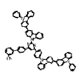 N#Cc1cccc(-c2ccc(-c3cc(-c4ccc(-n5c6ccccc6c6cc(-c7ccc8c(c7)c7ccccc7n8-c7ccccc7)ccc65)cc4)nc(-n4c5ccccc5c5cc(-c6ccc7c(c6)c6ccccc6n7-c6ccccc6)ccc54)n3)cc2)c1